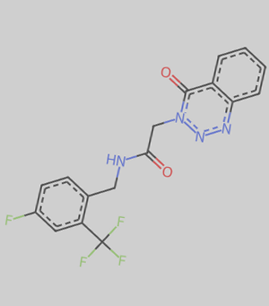 O=C(Cn1nnc2ccccc2c1=O)NCc1ccc(F)cc1C(F)(F)F